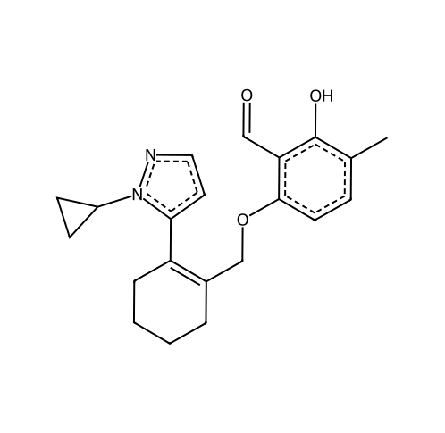 Cc1ccc(OCC2=C(c3ccnn3C3CC3)CCCC2)c(C=O)c1O